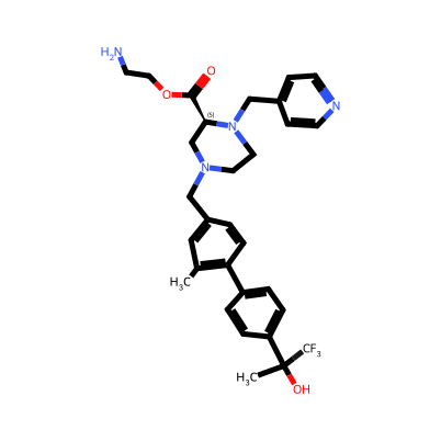 Cc1cc(CN2CCN(Cc3ccncc3)[C@H](C(=O)OCCN)C2)ccc1-c1ccc(C(C)(O)C(F)(F)F)cc1